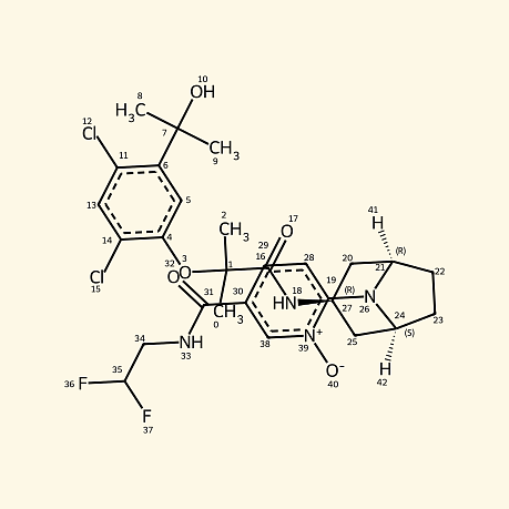 CC(C)(Oc1cc(C(C)(C)O)c(Cl)cc1Cl)C(=O)N[C@H]1C[C@H]2CC[C@@H](C1)N2c1ccc(C(=O)NCC(F)F)c[n+]1[O-]